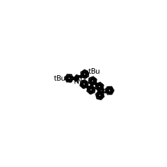 CC(C)(C)c1ccc(-c2cc(-c3ccc(C(C)(C)C)cc3)n(-c3ccc(-c4ccccc4-c4ccccc4-c4ccc5c(c4)c4ccccc4n5-c4ccccc4)cc3)n2)cc1